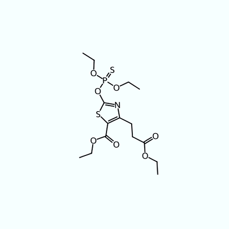 CCOC(=O)CCc1nc(OP(=S)(OCC)OCC)sc1C(=O)OCC